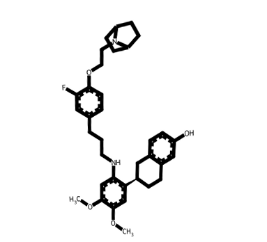 COc1cc(NCCCc2ccc(OCCN3C4CCC3CC4)c(F)c2)c([C@@H]2CCc3cc(O)ccc3C2)cc1OC